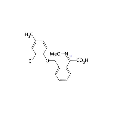 CO/N=C(/C(=O)O)c1ccccc1COc1ccc(C)cc1Cl